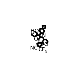 N#Cc1cc([C@H]2OC3(CCOCC3)c3c2c(C2CCOCC2)nc2c3[C@@H](O)CC3(CCC3)C2)ccc1C(F)(F)F